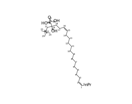 CCC/C=C\CCCCCCCCCCCC/C=C\CCC(O)(C[N+](C)(C)C)P(=O)(O)O